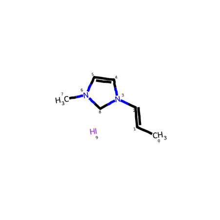 CC=CN1C=CN(C)C1.I